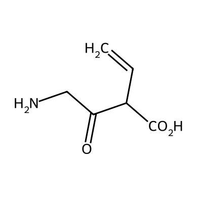 C=CC(C(=O)O)C(=O)CN